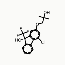 CC(C)(O)COc1cc(Cl)c2c(c1)[C@@](O)(C(F)(F)F)c1ccccc1-2